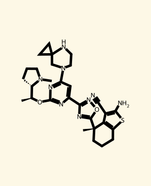 C[C@H](Oc1nc(-c2noc([C@@]3(C)CCCc4sc(N)c(C#N)c43)n2)cc(N2CCNC3(CC3)C2)n1)[C@@H]1CCCN1C